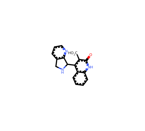 O=C(O)c1c(C2NCc3cccnc32)c2ccccc2[nH]c1=O